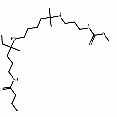 CCCC(=O)NCCCC(C)(CC)NCCCCC(C)(C)NCCCNC(=O)OC